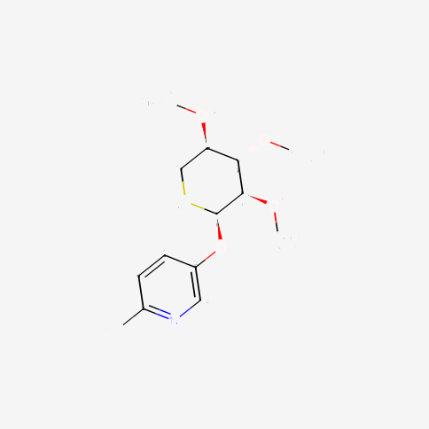 CCOC(=O)O[C@@H]1[C@@H](OC(=O)OCC)[C@@H](Oc2ccc(C(F)(F)F)nc2)SC[C@H]1OC(=O)OCC